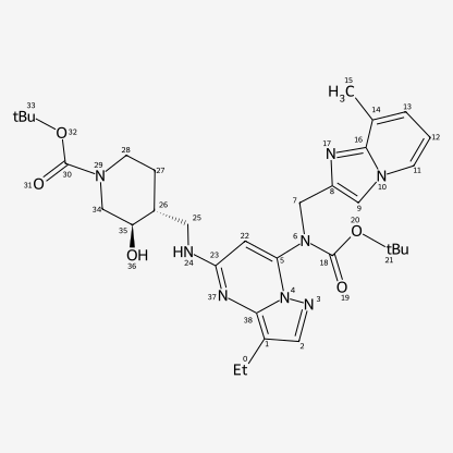 CCc1cnn2c(N(Cc3cn4cccc(C)c4n3)C(=O)OC(C)(C)C)cc(NC[C@H]3CCN(C(=O)OC(C)(C)C)C[C@@H]3O)nc12